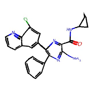 Nc1nc(-c2ccccc2)c(-c2cc(Cl)c3ncccc3c2)nc1C(=O)NC1CC1